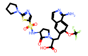 Nc1nccc2cc(CC(C(=O)O)N3CC[C@H](NS(=O)(=O)c4cnc(N5CCCC5)s4)C3=O)c(OC(F)(F)F)cc12